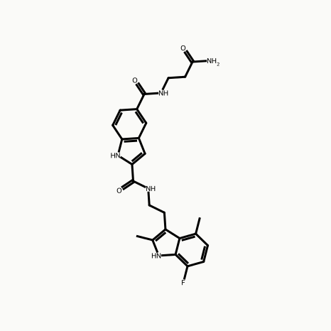 Cc1[nH]c2c(F)ccc(C)c2c1CCNC(=O)c1cc2cc(C(=O)NCCC(N)=O)ccc2[nH]1